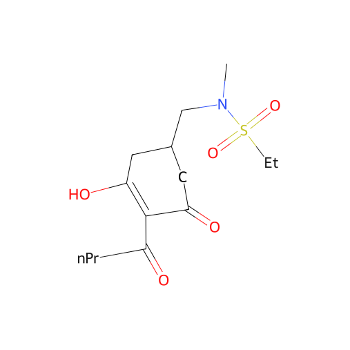 CCCC(=O)C1=C(O)CC(CN(C)S(=O)(=O)CC)CC1=O